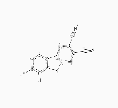 Cc1c(F)ccc2c1Cc1nc(C#N)c(C#N)nc1-2